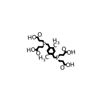 Cc1cc(CP(CCC(=O)O)CCC(=O)O)c(C)cc1CP(CCC(=O)O)CCC(=O)O